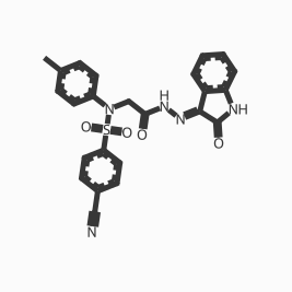 Cc1ccc(N(CC(=O)N/N=C2/C(=O)Nc3ccccc32)S(=O)(=O)c2ccc(C#N)cc2)cc1